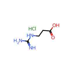 Cl.N=C(N)NCCC(=O)O